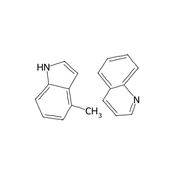 Cc1cccc2[nH]ccc12.c1ccc2ncccc2c1